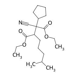 CCOC(=O)C(CCCC(C)C)C(C#N)(C(=O)OCC)C1CCCC1